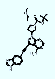 COCC[C@H]1CC(n2nc(C#Cc3ccc4[nH]cnc4c3)c3c(N)ncnc32)CN1C(=O)OC(C)(C)C